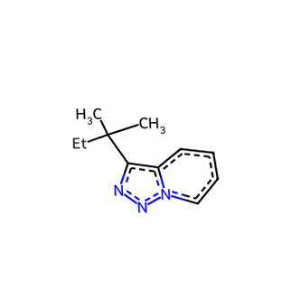 CCC(C)(C)c1nnn2ccccc12